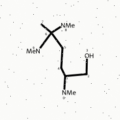 CNC(CO)CCC(C)(NC)NC